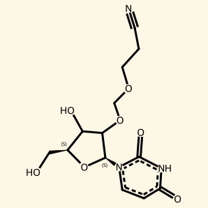 N#CCCOCOC1C(O)[C@H](CO)O[C@@H]1n1ccc(=O)[nH]c1=O